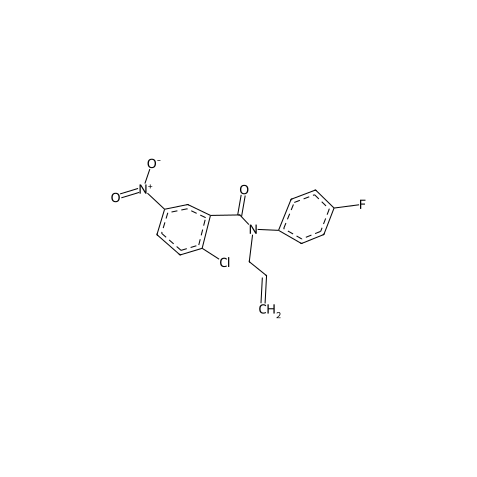 C=CCN(C(=O)c1cc([N+](=O)[O-])ccc1Cl)c1ccc(F)cc1